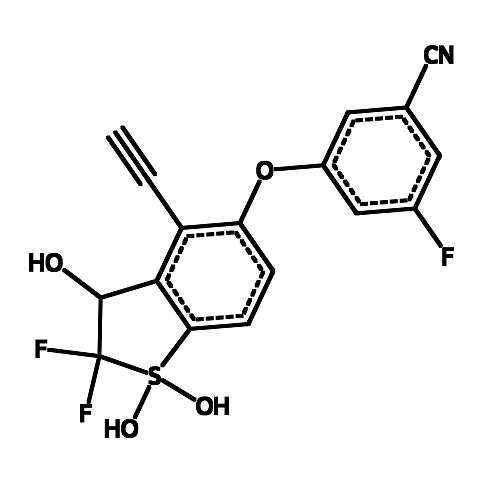 C#Cc1c(Oc2cc(F)cc(C#N)c2)ccc2c1C(O)C(F)(F)S2(O)O